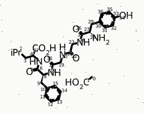 CC(=O)O.CC(C)C[C@H](NC(=O)[C@H](Cc1ccccc1)NC(=O)CNC(=O)CNC(=O)[C@@H](N)Cc1ccc(O)cc1)C(=O)O